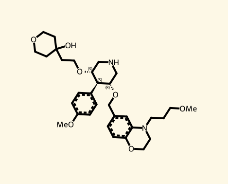 COCCCN1CCOc2ccc(CO[C@H]3CNC[C@@H](OCCC4(O)CCOCC4)[C@@H]3c3ccc(OC)cc3)cc21